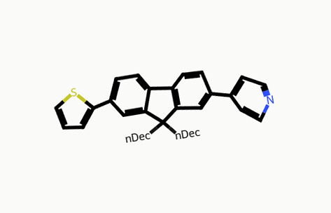 CCCCCCCCCCC1(CCCCCCCCCC)c2cc(-c3ccncc3)ccc2-c2ccc(-c3cccs3)cc21